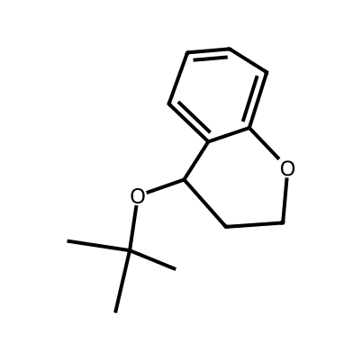 CC(C)(C)OC1CCOc2ccccc21